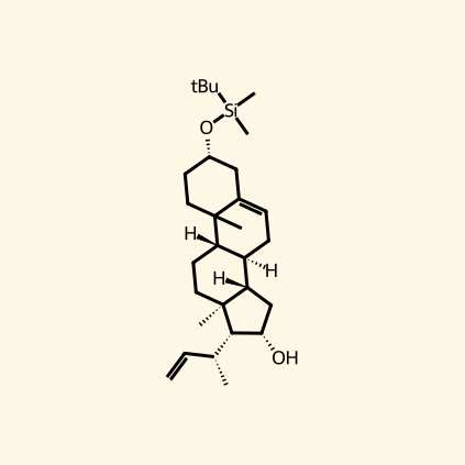 C=C[C@@H](C)[C@H]1[C@@H](O)C[C@H]2[C@@H]3CC=C4C[C@@H](O[Si](C)(C)C(C)(C)C)CCC4(C)[C@H]3CC[C@]12C